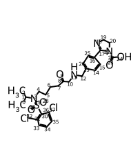 CC(C)N(CCCCC(=O)CNCc1ccc(C2=NCCN2C(=O)O)cc1)S(=O)(=O)c1c(Cl)cccc1Cl